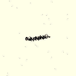 CCCCOc1ccc(N=Nc2ccc(N=Nc3ccc(N=Nc4ccc(N5CCCCC5)s4)cc3C)cc2)cc1